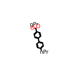 CCCOC(=O)c1ccc(-c2ccc(CCC)cc2)cc1